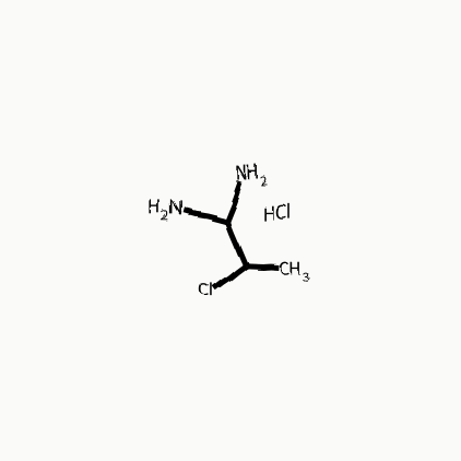 CC(Cl)C(N)N.Cl